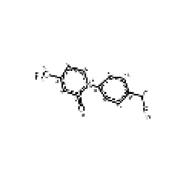 O=c1cc(C(F)(F)F)ccn1-c1ccc(CF)cc1